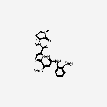 CCOc1ccccc1Nc1cc(NC)c2ncc(C(=O)N[C@@H]3CCN(C)C3=O)n2n1